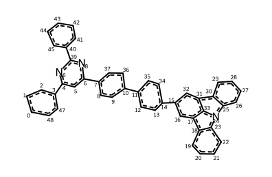 c1ccc(-c2cc(-c3ccc(-c4ccc(-c5cc6c7ccccc7n7c8ccccc8c(c5)c67)cc4)cc3)nc(-c3ccccc3)n2)cc1